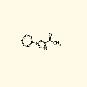 CC(=O)c1cn(-c2ccccc2)cn1